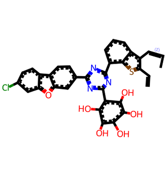 C=Cc1sc2c(-c3nc(-c4ccc5c(c4)oc4cc(Cl)ccc45)nc(-c4c(O)c(O)c(O)c(O)c4O)n3)cccc2c1/C=C\C